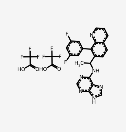 CC(Nc1ncnc2[nH]cnc12)c1ccc2cccnc2c1-c1cc(F)cc(F)c1.O=C(O)C(F)(F)F.O=C(O)C(F)(F)F